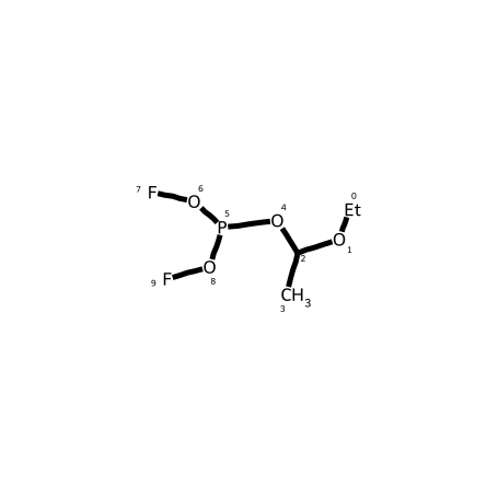 CCOC(C)OP(OF)OF